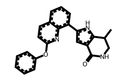 CC1CNC(=O)c2cc(-c3cccc4ccc(Oc5ccccc5)nc34)[nH]c21